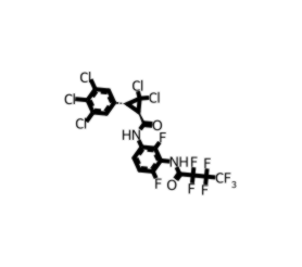 O=C(Nc1ccc(F)c(NC(=O)C(F)(F)C(F)(F)C(F)(F)F)c1F)[C@H]1[C@H](c2cc(Cl)c(Cl)c(Cl)c2)C1(Cl)Cl